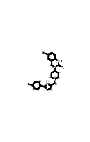 O=C1Nc2ccc(Br)cc2CN1C1CCN(Cc2cnc(-c3ccc(F)cc3)[nH]2)CC1